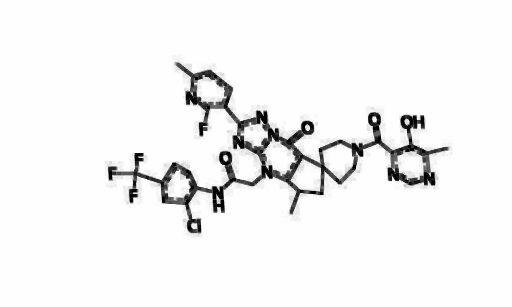 Cc1ccc(-c2nc3n(CC(=O)Nc4ccc(C(F)(F)F)cc4Cl)c4c(c(=O)n3n2)C2(CCN(C(=O)c3ncnc(C)c3O)CC2)CC4C)c(F)n1